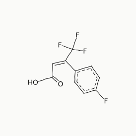 O=C(O)/C=C(\c1ccc(F)cc1)C(F)(F)F